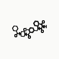 O=C(c1cc(Cn2c(=O)[nH]c(=O)c3ccccc32)ccc1Cl)N1CCN(C(=O)C2CCCCC2)CC1